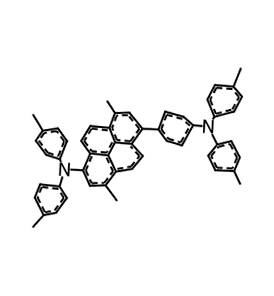 Cc1ccc(N(c2ccc(C)cc2)c2ccc(-c3cc(C)c4ccc5c(N(c6ccc(C)cc6)c6ccc(C)cc6)cc(C)c6ccc3c4c65)cc2)cc1